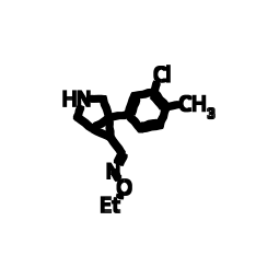 CCON=CC1C2CNCC12c1ccc(C)c(Cl)c1